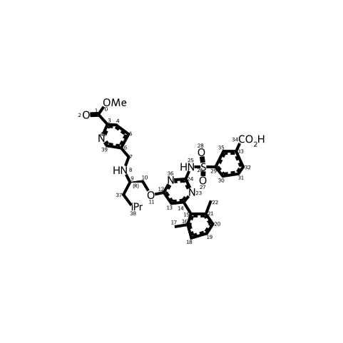 COC(=O)c1ccc(CN[C@@H](COc2cc(-c3c(C)cccc3C)nc(NS(=O)(=O)c3cccc(C(=O)O)c3)n2)CC(C)C)cn1